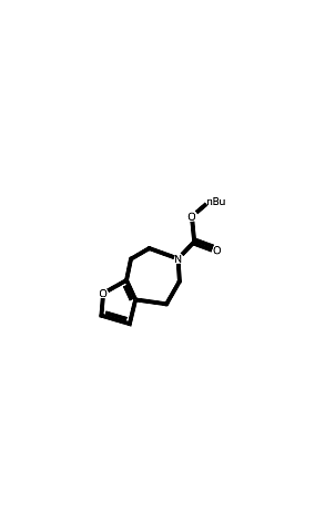 CCCCOC(=O)N1CCc2ccoc2CC1